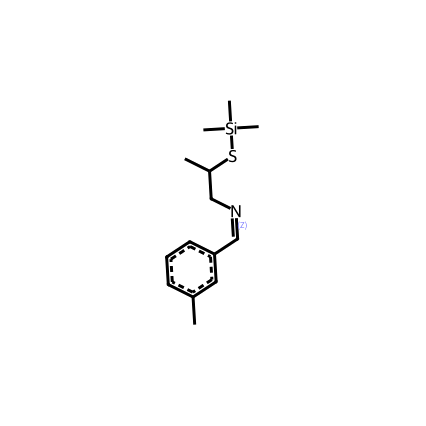 Cc1cccc(/C=N\CC(C)S[Si](C)(C)C)c1